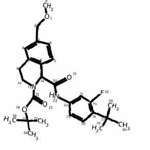 COCc1ccc2c(c1)CCN(C(=O)OC(C)(C)C)C2C(=O)Nc1ccc(C(C)(C)C)c(F)c1